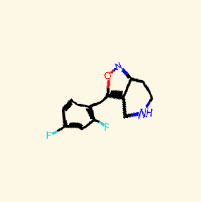 Fc1ccc(-c2onc3c2CNCC3)c(F)c1